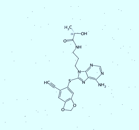 C#Cc1cc2c(cc1Sc1nc3c(N)ncnc3n1CCCNC(=O)[C@H](C)O)OCO2